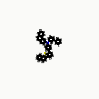 c1ccc(-c2cccc(N(c3ccc(-c4cccc5c4sc4c6ccccc6ccc54)cc3)c3ccc4ccc5ccccc5c4c3)c2)cc1